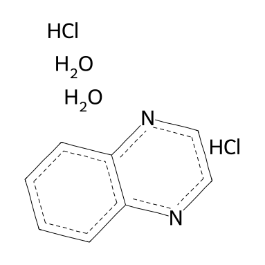 Cl.Cl.O.O.c1ccc2nccnc2c1